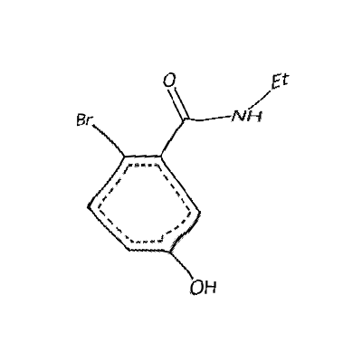 CCNC(=O)c1cc(O)ccc1Br